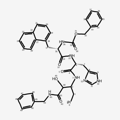 CC(C)CC(NC(=O)[C@@H](Cc1c[nH]cn1)NC(=O)[C@H](Cc1cccc2ccccc12)NC(=O)OCc1ccccc1)C(O)C(=O)NCc1ccccc1